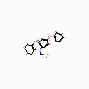 N#CCN(C1=C(C#N)CCCC1)c1ccc(Oc2ccccc2)cc1